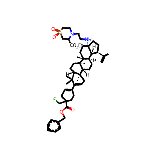 C=C(C)[C@@H]1CC[C@]2(NCCN3CCS(=O)(=O)CC3C(=O)OCC)CC[C@]3(C)[C@H](CC[C@@H]4[C@@]5(C)CC=C(C6=CCC(CF)(C(=O)OCc7ccccc7)CC6)C(C)(C)[C@@H]5CC[C@]43C)[C@@H]12